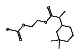 CC(C)C(=O)OCCOC(=O)C(C)C1CCCC(C)(C)C1